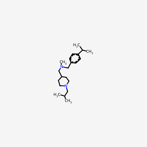 CC(C)CN1CCC(CN(C)Cc2ccc(C(C)C)cc2)CC1